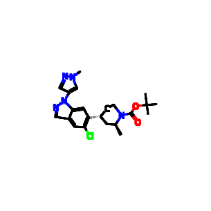 C[C@H]1C[C@H](c2cc3c(cnn3-c3cnn(C)c3)cc2Cl)CCN1C(=O)OC(C)(C)C